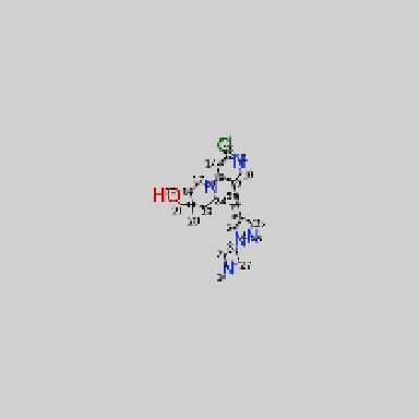 CN1CC(n2cc(C#Cc3cnc(Cl)cc3N3CCC(C)(CO)CC3)cn2)C1